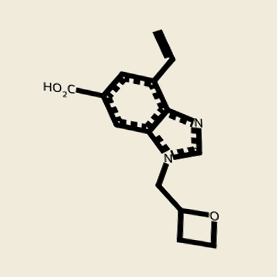 C=Cc1cc(C(=O)O)cc2c1ncn2CC1CCO1